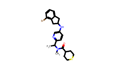 CN(C(=O)C1CCSCC1)C(c1ccc(NC2Cc3cccc(Br)c3C2)cn1)C(F)(F)F